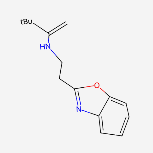 C=C(NCCc1nc2ccccc2o1)C(C)(C)C